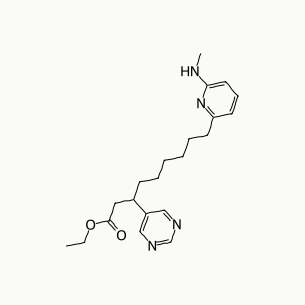 CCOC(=O)CC(CCCCCCc1cccc(NC)n1)c1cncnc1